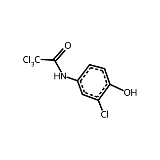 O=C(Nc1ccc(O)c(Cl)c1)C(Cl)(Cl)Cl